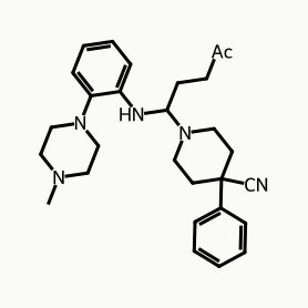 CC(=O)CCC(Nc1ccccc1N1CCN(C)CC1)N1CCC(C#N)(c2ccccc2)CC1